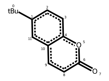 CC(C)(C)c1ccc2oc(=O)ccc2c1